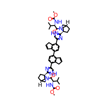 COC(=O)N[C@H](C(=O)N1C[C@@H]2CC[C@@]1(c1nc(-c3ccc(-c4ccc(-c5c[nH]c([C@@]67CC[C@@H](CN6C(=O)[C@@H](NC(=O)OC)C(C)C)C7)n5)c5c4C=CC5)c4c3CC=C4)c[nH]1)C2)C(C)C